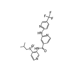 CC(C)C[S+]([O-])c1ccncc1NC(=O)c1ccnc(Nc2ccc(C(F)(F)F)cn2)c1